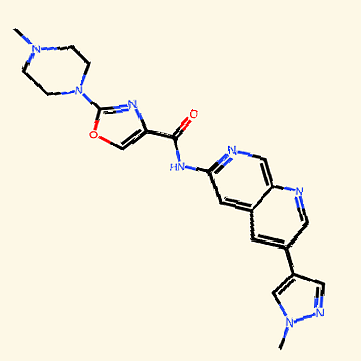 CN1CCN(c2nc(C(=O)Nc3cc4cc(-c5cnn(C)c5)cnc4cn3)co2)CC1